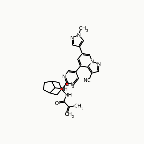 C=C(C)C(=O)NC1(C)CC2CCC(C1)C2Nc1ccc(-c2cc(-c3cnn(C)c3)cn3ncc(C#N)c23)cn1